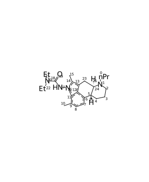 CCCN1CCC[C@@H]2c3ccc(C)c4c3c(c(C)n4NC(=O)N(CC)CC)C[C@H]21